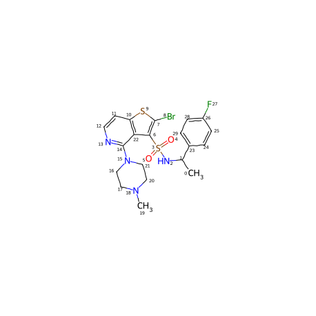 CC(NS(=O)(=O)c1c(Br)sc2ccnc(N3CCN(C)CC3)c12)c1ccc(F)cc1